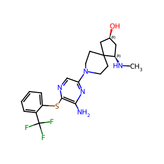 CN[C@@H]1C[C@H](O)CC12CCN(c1cnc(Sc3ccccc3C(F)(F)F)c(N)n1)CC2